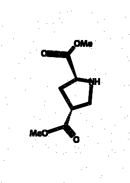 COC(=O)[C@H]1CN[C@H](C(=O)OC)C1